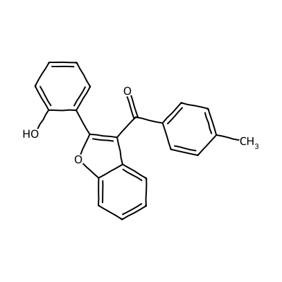 Cc1ccc(C(=O)c2c(-c3ccccc3O)oc3ccccc23)cc1